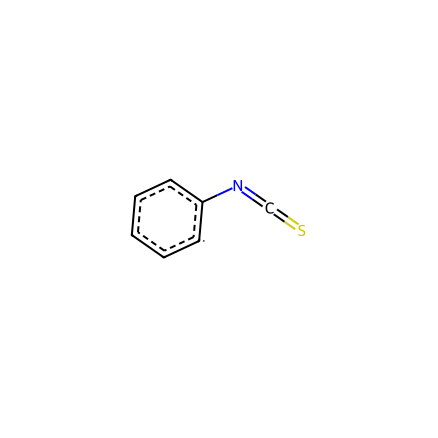 S=C=Nc1[c]cccc1